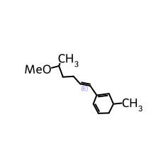 COC(C)CC/C=C/C1=CC(C)CC=C1